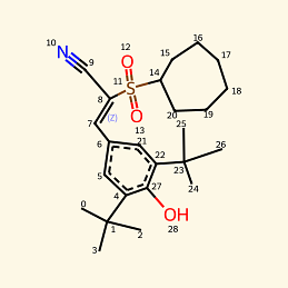 CC(C)(C)c1cc(/C=C(/C#N)S(=O)(=O)C2CCCCCC2)cc(C(C)(C)C)c1O